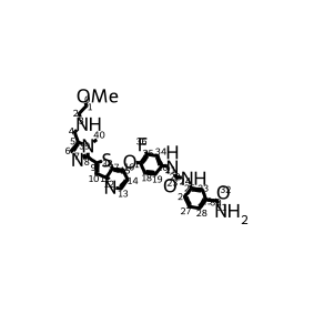 COCCNCc1cnc(-c2cc3nccc(Oc4ccc(NC(=O)Nc5cccc(C(N)=O)c5)cc4F)c3s2)n1C